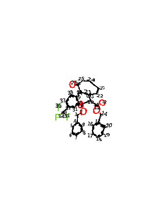 O=C(OCc1ccccc1)C(C(=O)OCc1ccccc1)[C@@H]1CCCCC(=O)[C@H]1c1ccc(C(F)(F)F)cc1